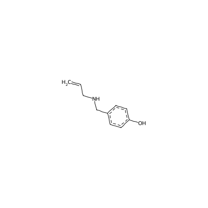 C=CCNCc1ccc(O)cc1